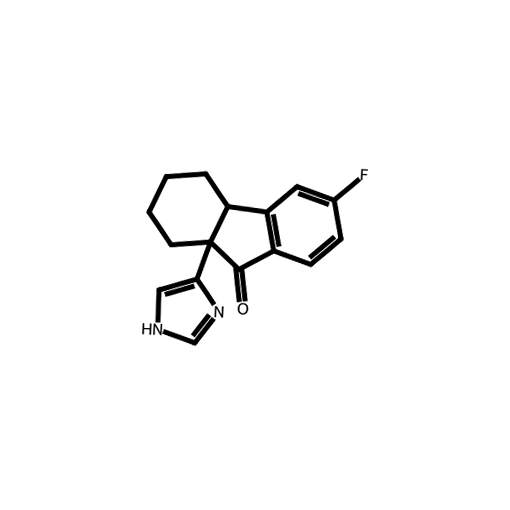 O=C1c2ccc(F)cc2C2CCCCC12c1c[nH]cn1